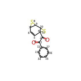 O=C(C(=O)C12C=CC3SC3C1S2)c1ccccc1